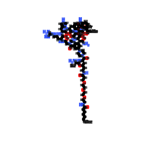 CCCCCCCCCCCCCCCC(=O)NCCOCCOCCOCCC(=O)NCCCC[C@H](NC(=O)[C@@H](N)[C@@H](C)CC)C(=O)N1CCN(c2ccc3ncn(CC(=O)N[C@@H](CCCNC(=N)N)C(=O)N[C@@H](Cc4c[nH]cn4)C(=O)N[C@@H](Cc4ccc(O)cc4)C(=O)N[C@@H](CC(C)C)C(=O)N[C@@H](CC(N)=O)C(=O)N[C@@H](Cc4c[nH]c5ccccc45)C(=O)N[C@H](C(=O)NC)C(C)C)c(=O)c3c2)CC1